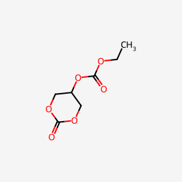 CCOC(=O)OC1COC(=O)OC1